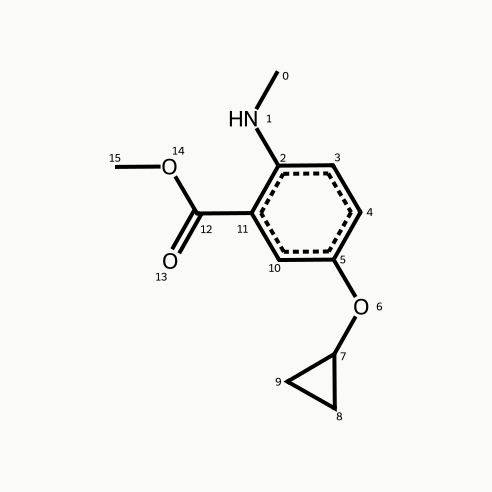 CNc1ccc(OC2CC2)cc1C(=O)OC